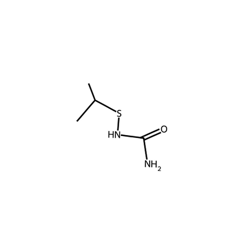 CC(C)SNC(N)=O